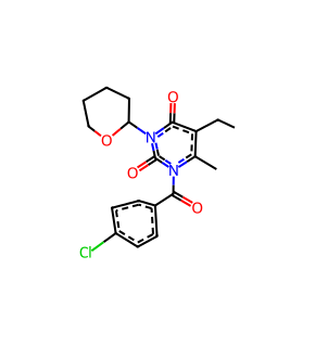 CCc1c(C)n(C(=O)c2ccc(Cl)cc2)c(=O)n(C2CCCCO2)c1=O